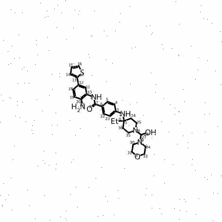 CCC1(Nc2ccc(C(=O)Nc3cc(-c4cccs4)ccc3N)cc2)CCN(C(O)N2CCOCC2)CC1